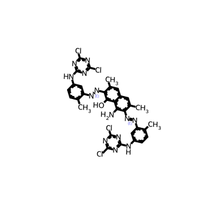 Cc1ccc(Nc2nc(Cl)nc(Cl)n2)cc1/N=N/c1c(C)cc2cc(C)c(/N=N/c3cc(Nc4nc(Cl)nc(Cl)n4)ccc3C)c(O)c2c1N